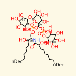 CCCCCCCCCCCCCCCCC(O)C(=O)N[C@@H](COP(=O)(O)O[C@H]1C(O)C(O)C(O)[C@@H](O)C1O[C@H]1O[C@H](COP(=O)(O)OC2C(O)C(O)C(O)[C@@H](O)C2O)[C@@H](O)C(O)C1O)[C@H](O)CCCCCCCCCCCCCCC